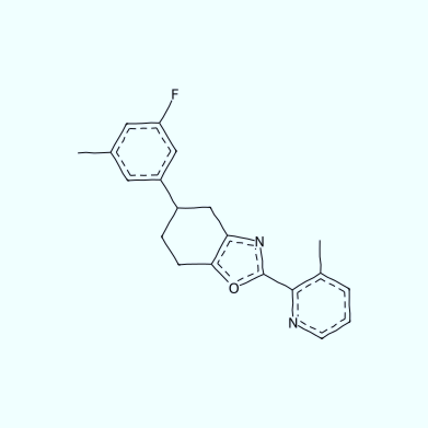 Cc1cc(F)cc(C2CCc3oc(-c4ncccc4C)nc3C2)c1